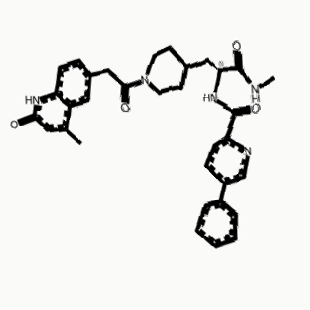 CNC(=O)[C@H](CC1CCN(C(=O)Cc2ccc3[nH]c(=O)cc(C)c3c2)CC1)NC(=O)c1ccc(-c2ccccc2)cn1